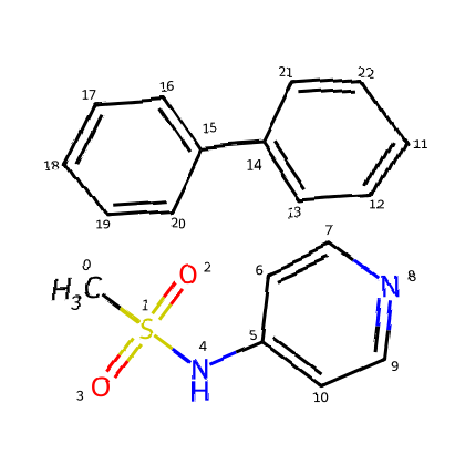 CS(=O)(=O)Nc1ccncc1.c1ccc(-c2ccccc2)cc1